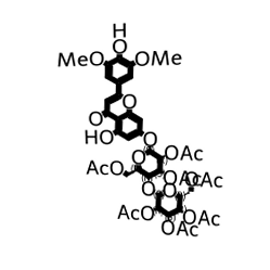 COc1cc(-c2cc(=O)c3c(O)cc(O[C@@H]4O[C@H](COC(C)=O)[C@@H](O[C@@H]5O[C@H](COC(C)=O)[C@@H](OC(C)=O)[C@H](OC(C)=O)[C@H]5OC(C)=O)[C@H](OC(C)=O)[C@H]4OC(C)=O)cc3o2)cc(OC)c1O